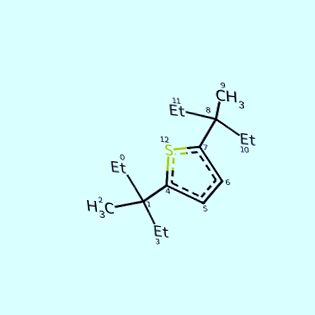 CCC(C)(CC)c1ccc(C(C)(CC)CC)s1